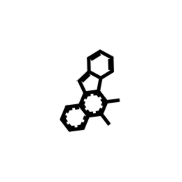 Cc1c2c(c3ccccc3c1C)[C]=C1C=CC=CC12